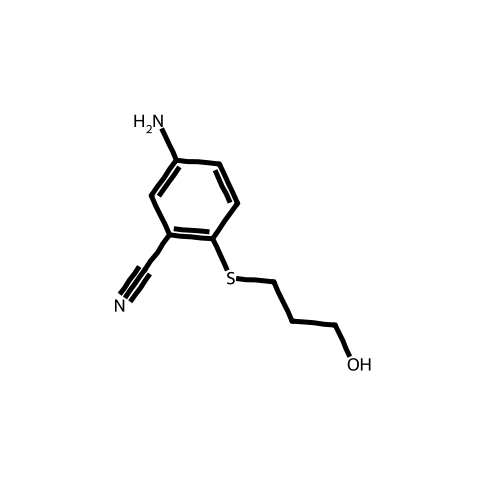 N#Cc1cc(N)ccc1SCCCO